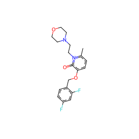 Cc1ccc(OCc2ccc(F)cc2F)c(=O)n1CCN1CCOCC1